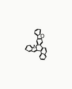 c1ccc2c(c1)ccc1c3cc4oc5ccccc5c4cc3n3c4ccccc4cc3c21